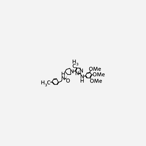 COc1cc(Nc2ncc(C)c(N3CCC[C@@H](C(=O)NCc4ccc(C)cc4)C3)n2)cc(OC)c1OC